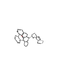 C1=Cc2c(sc3ccc(-c4c5ccccc5c(-c5ccccc5-c5ccccc5)c5ccccc45)cc23)CC1